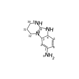 NC1=CC2C(C=C1)NC1NCCCN12